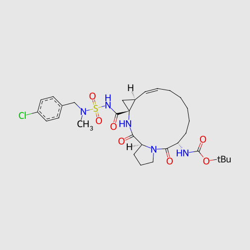 CN(Cc1ccc(Cl)cc1)S(=O)(=O)NC(=O)[C@@]12C[C@H]1/C=C\CCCCC[C@H](NC(=O)OC(C)(C)C)C(=O)N1CCC[C@H]1C(=O)N2